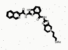 CSCCCN1CCc2nc(NC(=O)c3cccc4[nH]c(NC(=O)c5cc6ccccc6cn5)nc34)sc2C1